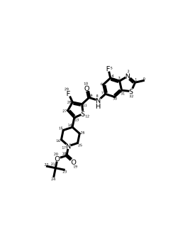 Cc1nc2c(F)cc(NC(=O)c3sc(C4CCN(C(=O)OC(C)(C)C)CC4)cc3F)cc2s1